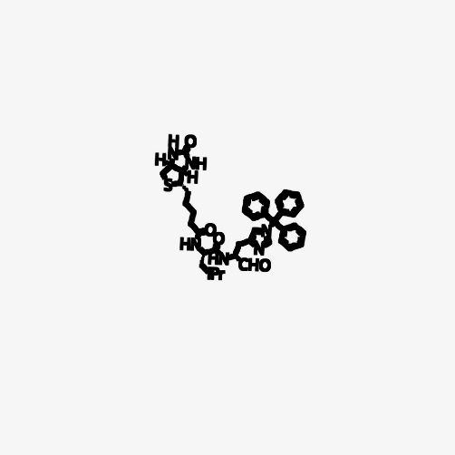 CC(C)C[C@H](NC(=O)CCCC[C@@H]1SC[C@@H]2NC(=O)N[C@@H]21)C(=O)N[C@H](C=O)Cc1cn(C(c2ccccc2)(c2ccccc2)c2ccccc2)cn1